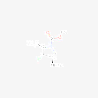 CC(=O)N[C@@H]1CN(C(=O)OC(C)(C)C)[C@H](C(=O)O)[C@H]1F